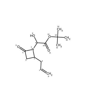 C=CCC1CC(=O)N1C(O)C(=O)OC(C)(C)C